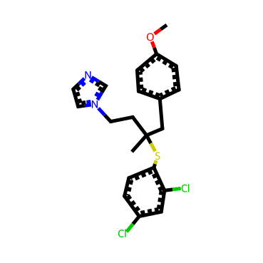 COc1ccc(CC(C)(CCn2ccnc2)Sc2ccc(Cl)cc2Cl)cc1